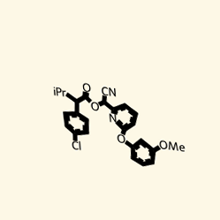 COc1cccc(Oc2cccc(C(C#N)OC(=O)C(c3ccc(Cl)cc3)C(C)C)n2)c1